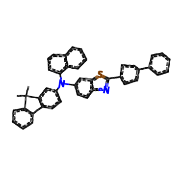 CC1(C)c2ccccc2-c2ccc(N(c3ccc4nc(-c5ccc(-c6ccccc6)cc5)sc4c3)c3cccc4ccccc34)cc21